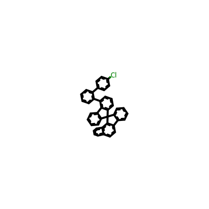 Clc1ccc(-c2ccccc2-c2cccc3c2-c2ccccc2C32c3ccccc3-c3ccc4ccccc4c32)cc1